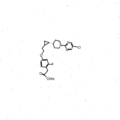 COC(=O)Cc1ccc(OCCC2C[C@@H]2C2CCN(c3ncc(Cl)cn3)CC2)cc1F